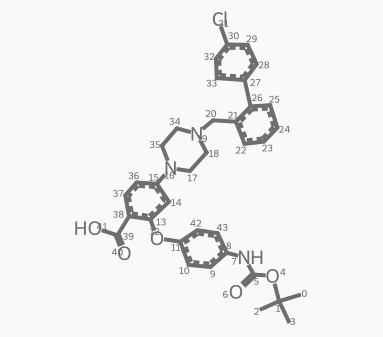 CC(C)(C)OC(=O)Nc1ccc(Oc2cc(N3CCN(Cc4ccccc4-c4ccc(Cl)cc4)CC3)ccc2C(=O)O)cc1